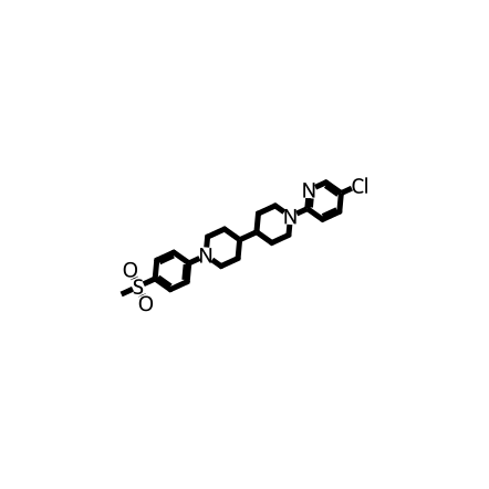 CS(=O)(=O)c1ccc(N2CCC(C3CCN(c4ccc(Cl)cn4)CC3)CC2)cc1